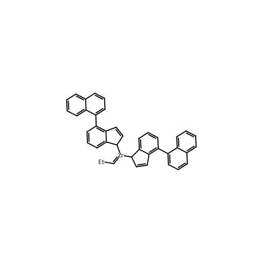 CC[CH]=[Zr]([CH]1C=Cc2c(-c3cccc4ccccc34)cccc21)[CH]1C=Cc2c(-c3cccc4ccccc34)cccc21